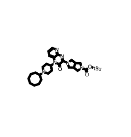 CC(C)(C)OC(=O)N1CC2CN(c3nc4ncccc4n(C4CCN(C5CCCCCCC5)CC4)c3=O)CC2C1